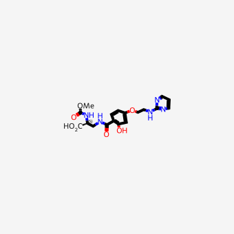 COC(=O)N[C@@H](CNC(=O)c1ccc(OCCNc2ncccn2)cc1O)C(=O)O